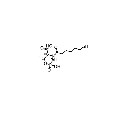 C[C@@H](OP(=O)(O)O)[C@H](NC(=O)CCCCCS)C(=O)O